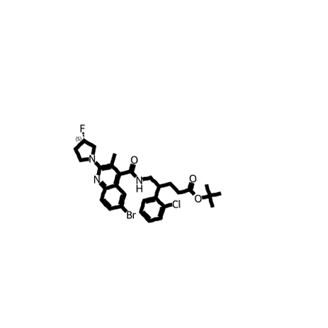 Cc1c(N2CC[C@H](F)C2)nc2ccc(Br)cc2c1C(=O)NCC(CCC(=O)OC(C)(C)C)c1ccccc1Cl